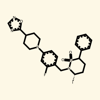 O=S1(=O)C(c2ccccc2)CC[C@H](I)N1Cc1ccc(N2CCC(c3ncno3)CC2)cc1F